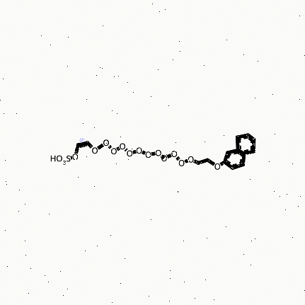 O=S(=O)(O)O/C=C\OOOOOOOOOOOOCCOc1ccc2ccccc2c1